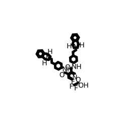 O=C(NC1CCC(CCN2[C@@H]3CC[C@H]2c2ccccc23)CC1)c1ccncc1C(=O)NC1CCC(CCN2[C@@H]3CC[C@H]2c2ccccc23)CC1.O=C(O)C(F)(F)F